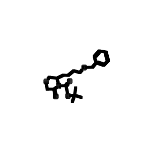 CC(C)(C)OC(=O)N1C(=O)COCC1CCCCOCc1ccccc1